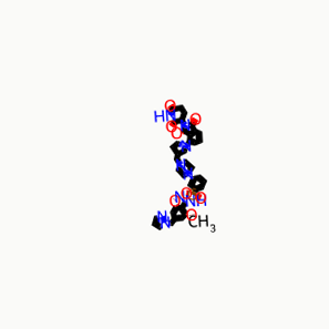 COc1cc(Cn2cccn2)cc2onc(NS(=O)(=O)c3cccc(N4CCN(CC5CCN(c6cccc7c6C(=O)N(C6CCC(=O)NC6=O)C7=O)C5)CC4)c3)c12